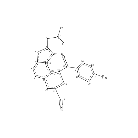 CN(C)Cc1cc2ccc3cc(C#N)cc(C(=O)c4ccc(F)cc4)c3n2c1